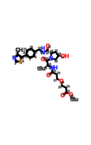 Cc1ncsc1-c1ccc(CNC(=O)[C@@H]2C[C@@H](O)CN2C(=O)[C@@H](NC(=O)CCOCCC(=O)OC(C)(C)C)C(C)(C)C)cc1